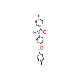 Cc1ccc(COc2ccc(NC(=O)c3ccc(C)cc3)cc2)cc1